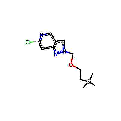 C[Si](C)(C)CCOCn1cc2cnc(Cl)cc2n1